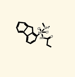 CCC(=O)[NH][Hf]([Cl])([Cl])([c]1cccc2c1Cc1ccccc1-2)[SiH](C)C